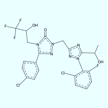 CC(O)c1nc(Cn2nc(-c3ccc(Cl)cc3)n(CC(O)C(F)(F)F)c2=O)nn1-c1c(F)cccc1Cl